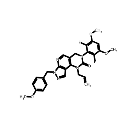 C=CCN1C(=O)N(c2c(F)c(OC)cc(OC)c2F)Cc2cnc3c(cnn3Cc3ccc(OC)cc3)c21